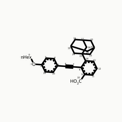 CCCCCCOc1ccc(C#Cc2c(C(=O)O)cccc2C23CC4CC(CC(C4)C2)C3)cc1